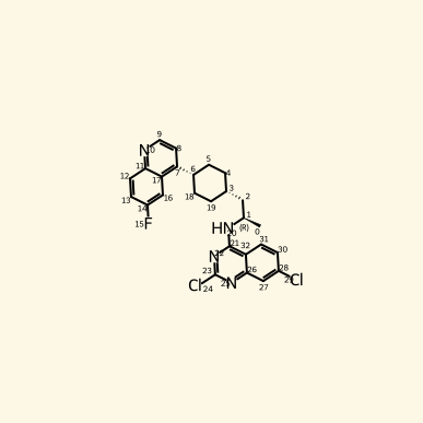 C[C@H](C[C@H]1CC[C@@H](c2ccnc3ccc(F)cc32)CC1)Nc1nc(Cl)nc2cc(Cl)ccc12